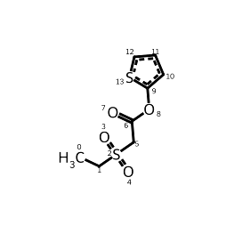 CCS(=O)(=O)CC(=O)Oc1cccs1